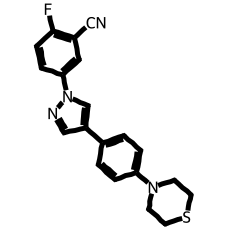 N#Cc1cc(-n2cc(-c3ccc(N4CCSCC4)cc3)cn2)ccc1F